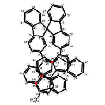 Cn1c2ccccc2c2c(N(c3ccc4c(c3)C3(c5ccccc5-c5ccc(N(c6ccccc6)c6ccccc6)cc53)c3ccccc3-4)c3ccccc3-c3ccccc3)cccc21